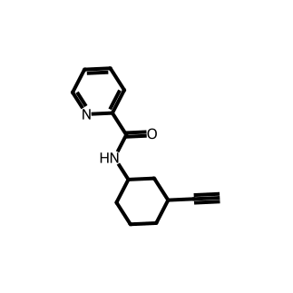 C#CC1CCCC(NC(=O)c2ccccn2)C1